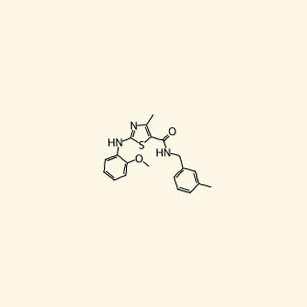 COc1ccccc1Nc1nc(C)c(C(=O)NCc2cccc(C)c2)s1